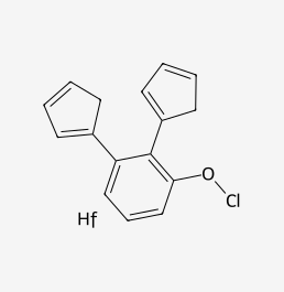 ClOc1cccc(C2=CC=CC2)c1C1=CC=CC1.[Hf]